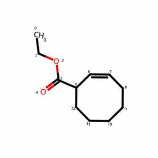 CCOC(=O)C1/C=C\CCCCC1